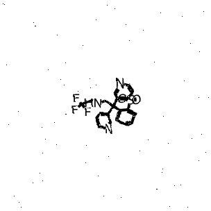 CS(=O)(=O)c1ccccc1C(CNCC(F)(F)F)(c1cccnc1)c1cccnc1